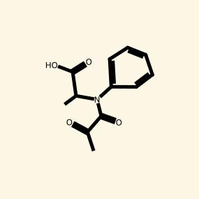 CC(=O)C(=O)N(c1ccccc1)C(C)C(=O)O